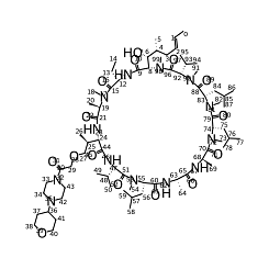 C/C=C/C[C@@H](C)[C@@H](O)[C@H]1C(=O)N[C@@H](CC)C(=O)N(C)[C@H](C)C(=O)N[C@@H]([C@H](C)COCC(=O)N2CCN(C3CCOCC3)CC2)C(=O)N[C@@H](C(C)C)C(=O)N(C)[C@@H](CC(C)C)C(=O)N[C@@H](C)C(=O)N[C@H](C)C(=O)N(C)[C@@H](CC(C)C)C(=O)N(C)[C@@H](CC(C)C)C(=O)N(C)[C@@H](C(C)C)C(=O)N1C